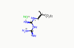 CCOC(=O)C(C)=CNC(=N)NC(=N)N.Cl